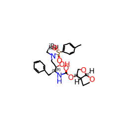 CC[C@H](C)CN(C[C@@H](O)[C@H](Cc1ccccc1)NC(=O)O[C@H]1CO[C@H]2OCC[C@H]21)S(=O)(=O)c1ccc(C)cc1